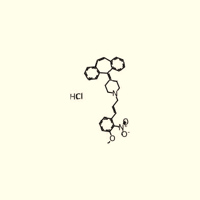 COc1cccc(C=CCN2CCC(=C3c4ccccc4C=Cc4ccccc43)CC2)c1[N+](=O)[O-].Cl